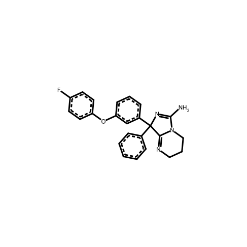 NC1=NC(c2ccccc2)(c2cccc(Oc3ccc(F)cc3)c2)C2=NCCCN12